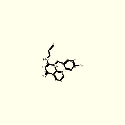 C=CCNc1nc(=O)c2cccnc2n1Cc1ccc(F)cc1